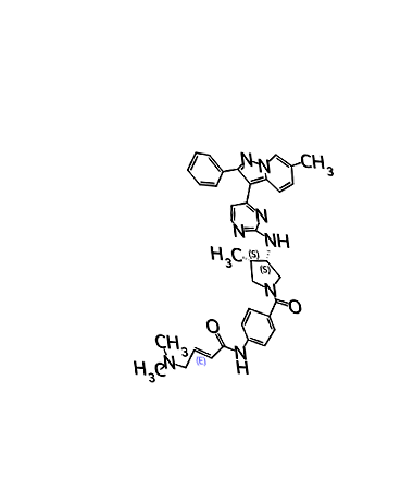 Cc1ccc2c(-c3ccnc(N[C@@H]4CN(C(=O)c5ccc(NC(=O)/C=C/CN(C)C)cc5)C[C@@H]4C)n3)c(-c3ccccc3)nn2c1